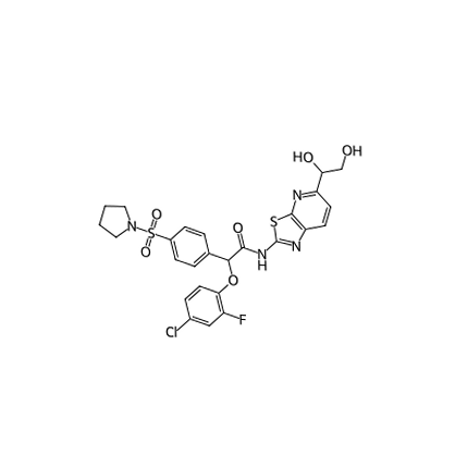 O=C(Nc1nc2ccc(C(O)CO)nc2s1)C(Oc1ccc(Cl)cc1F)c1ccc(S(=O)(=O)N2CCCC2)cc1